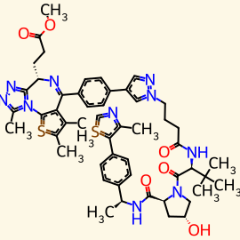 COC(=O)CC[C@@H]1N=C(c2ccc(-c3cnn(CCCC(=O)N[C@H](C(=O)N4C[C@H](O)C[C@H]4C(=O)N[C@@H](C)c4ccc(-c5scnc5C)cc4)C(C)(C)C)c3)cc2)c2c(sc(C)c2C)-n2c(C)nnc21